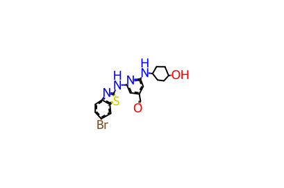 O=Cc1cc(Nc2nc3ccc(Br)cc3s2)nc(NC2CCC(O)CC2)c1